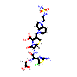 C[C@H](O/N=C(\C(=O)N[C@@H]1C(=O)N2C(C(=O)O)=C(C[n+]3cccc4c3ccn4CCNS(N)(=O)=O)CS[C@H]12)c1nc(N)sc1Cl)C(=O)O